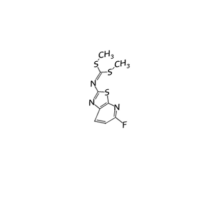 CSC(=Nc1nc2ccc(F)nc2s1)SC